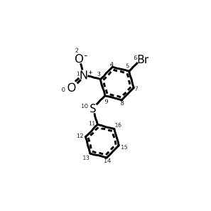 O=[N+]([O-])c1cc(Br)ccc1Sc1ccccc1